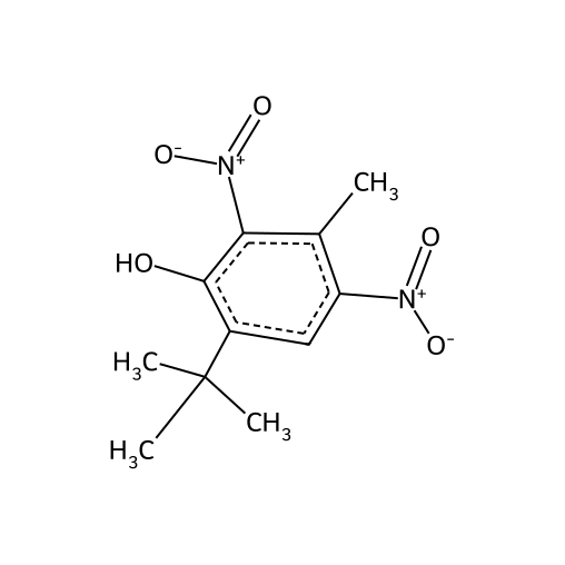 Cc1c([N+](=O)[O-])cc(C(C)(C)C)c(O)c1[N+](=O)[O-]